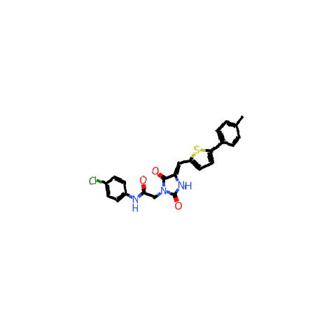 Cc1ccc(-c2ccc(/C=C3\NC(=O)N(CC(=O)Nc4ccc(Cl)cc4)C3=O)s2)cc1